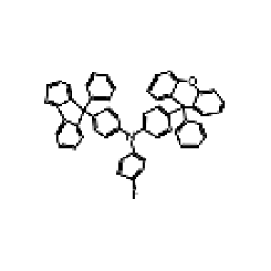 Fc1ccc(N(c2ccc(C3(c4ccccc4)c4ccccc4Oc4ccccc43)cc2)c2ccc(C3(c4ccccc4)c4ccccc4-c4ccccc43)cc2)cc1